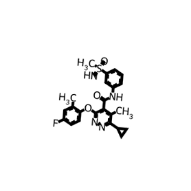 Cc1cc(F)ccc1Oc1nnc(C2CC2)c(C)c1C(=O)Nc1cccc(S(C)(=N)=O)c1